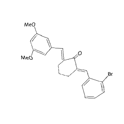 COc1cc(C=C2CCCC(=Cc3ccccc3Br)C2=O)cc(OC)c1